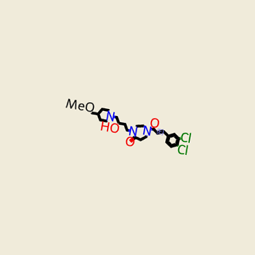 COCC1CCN(CC(O)CCN2CCN(C(=O)/C=C/c3ccc(Cl)c(Cl)c3)CCC2=O)CC1